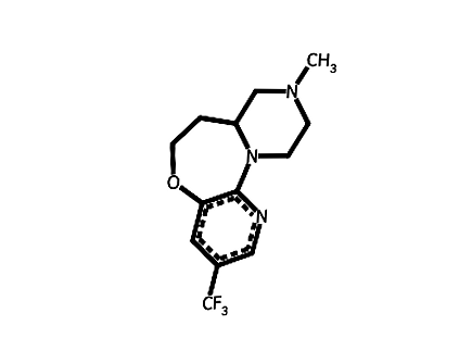 CN1CCN2c3ncc(C(F)(F)F)cc3OCCC2C1